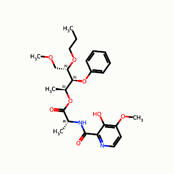 CCCO[C@@H](COC)[C@@H](Oc1ccccc1)[C@H](C)OC(=O)[C@@H](C)NC(=O)c1nccc(OC)c1O